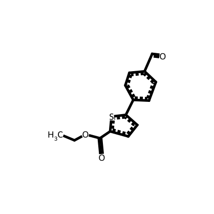 CCOC(=O)c1ccc(-c2ccc(C=O)cc2)s1